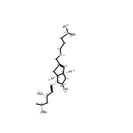 CCCC[C@H](C)C[C@H](O)/C=C/[C@@H]1[C@H]2CC(COCCCN(C(C)C)C(C)C)=C[C@H]2C[C@H]1O